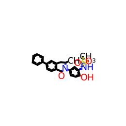 CC1Cc2cc(-c3ccccc3)ccc2C(=O)N1c1ccc(O)c(NS(C)(=O)=O)c1